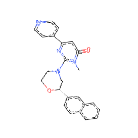 Cn1c(N2CCO[C@@H](c3ccc4ccccc4c3)C2)nc(-c2ccncc2)cc1=O